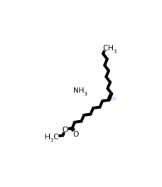 CCCCCCCC/C=C\CCCCCCCC(=O)OCC.N